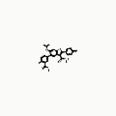 CNC(=O)c1c(-c2ccc(F)cc2)oc2cc(OC(C)C)c(-c3ccc(C)c(C(=O)OC)c3)cc12